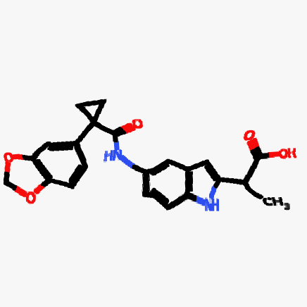 CC(C(=O)O)c1cc2cc(NC(=O)C3(c4ccc5c(c4)OCO5)CC3)ccc2[nH]1